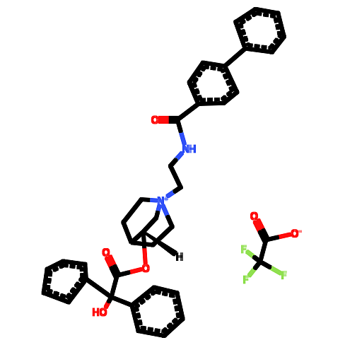 O=C(NCC[N+]12CCC(CC1)[C@@H](OC(=O)C(O)(c1ccccc1)c1ccccc1)C2)c1ccc(-c2ccccc2)cc1.O=C([O-])C(F)(F)F